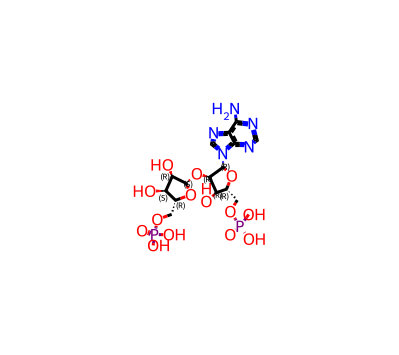 Nc1ncnc2c1ncn2[C@@H]1O[C@H](COP(=O)(O)O)[C@@H](O)[C@H]1O[C@@H]1O[C@H](COP(=O)(O)O)[C@@H](O)[C@H]1O